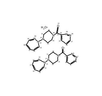 O.O=C(c1cccnn1)N1CCN(N2C=CC=CC=N2)CC1.O=C(c1cccnn1)N1CCN(N2C=CC=CC=N2)CC1